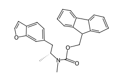 C[C@H](Cc1ccc2ccoc2c1)N(C)C(=O)OCC1c2ccccc2-c2ccccc21